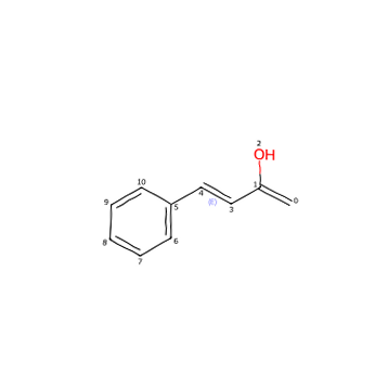 C=C(O)/C=C/c1ccccc1